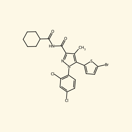 Cc1c(C(=O)NC(=O)C2CCCCC2)nn(-c2ccc(Cl)cc2Cl)c1-c1ccc(Br)s1